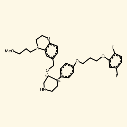 COCCCN1CCOc2ccc(CO[C@H]3CNCC[C@@H]3c3ccc(OCCCOc4cc(F)ccc4F)cc3)cc21